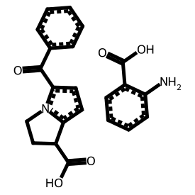 Nc1ccccc1C(=O)O.O=C(c1ccccc1)c1ccc2n1CCC2C(=O)O